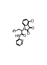 CC(C)CC(C(=O)Nc1ccccn1)N1C(=O)C(=O)c2c(Cl)cccc21